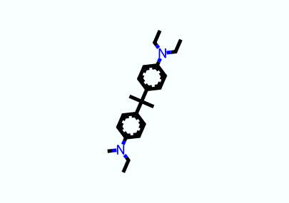 CCN(C)c1ccc(C(C)(C)c2ccc(N(CC)CC)cc2)cc1